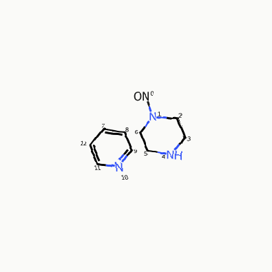 O=NN1CCNCC1.c1ccncc1